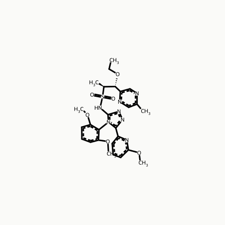 CCO[C@H](c1cnc(C)cn1)[C@H](C)S(=O)(=O)Nc1nnc(-c2cccc(OC)n2)n1-c1c(OC)cccc1OC